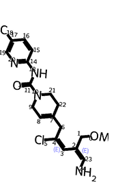 COCC(/C=C(/Cl)CC1=CCN(C(=O)Nc2ccc(C(F)(F)F)cn2)CC1)=C/N